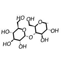 OC[C@H]1O[C@H](O[C@H]2[C@H](O)[C@@H](O)[CH]O[C@@H]2CO)[C@H](O)[C@@H](O)[C@@H]1O